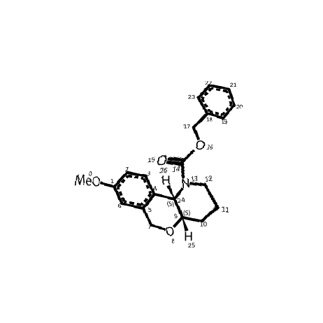 COc1ccc2c(c1)CO[C@H]1CCCN(C(=O)OCc3ccccc3)[C@@H]21